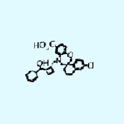 O=C(O)c1ccc2c(c1)N(C[C@@H]1CC[C@H]1[C@H](O)[C@H]1C=CCCC1)CC1(CCCc3cc(Cl)ccc31)CO2